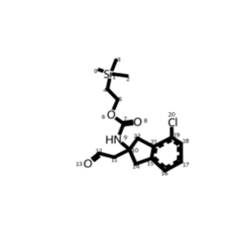 C[Si](C)(C)CCOC(=O)NC1(CC=O)Cc2cccc(Cl)c2C1